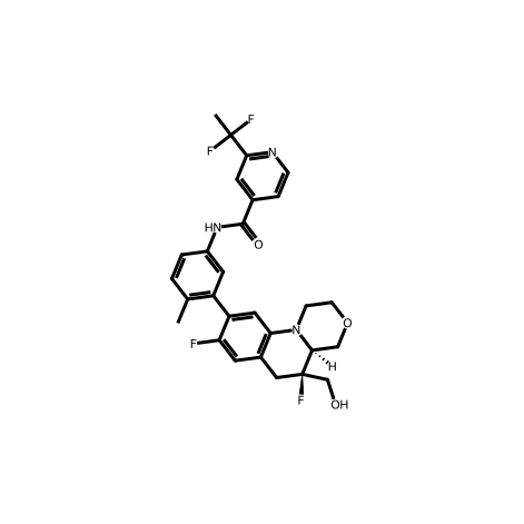 Cc1ccc(NC(=O)c2ccnc(C(C)(F)F)c2)cc1-c1cc2c(cc1F)C[C@@](F)(CO)[C@@H]1COCCN21